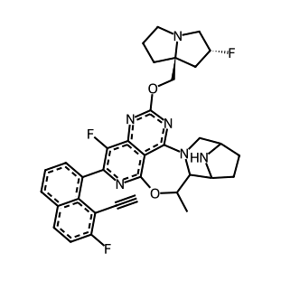 C#Cc1c(F)ccc2cccc(-c3nc4c5c(nc(OC[C@@]67CCCN6C[C@H](F)C7)nc5c3F)N3CC5CCC(N5)C3C(C)O4)c12